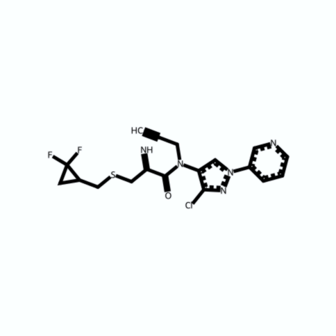 C#CCN(C(=O)C(=N)CSCC1CC1(F)F)c1cn(-c2cccnc2)nc1Cl